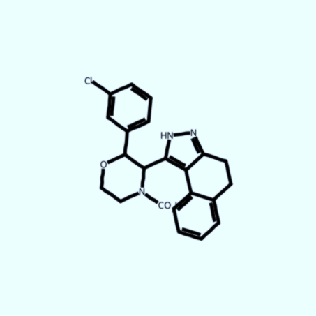 O=C(O)N1CCOC(c2cccc(Cl)c2)C1c1[nH]nc2c1-c1ccccc1CC2